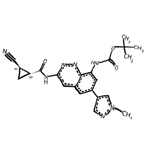 Cn1cc(-c2cc(NC(=O)OC(C)(C)C)c3nnc(NC(=O)[C@@H]4C[C@H]4C#N)cc3c2)cn1